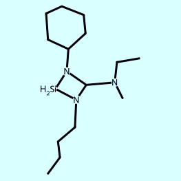 CCCCN1[SiH2]N(C2CCCCC2)C1N(C)CC